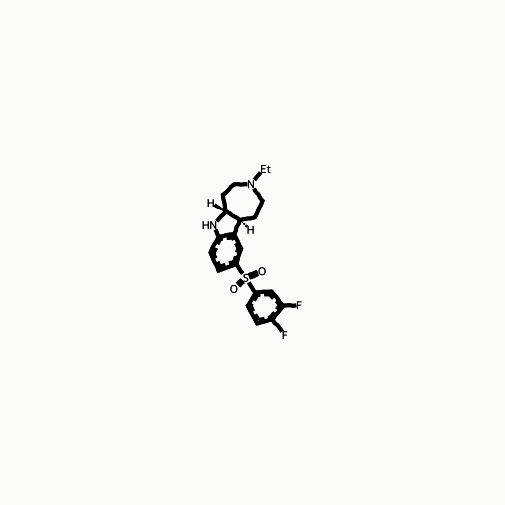 CCN1CC[C@H]2Nc3ccc(S(=O)(=O)c4ccc(F)c(F)c4)cc3[C@@H]2CC1